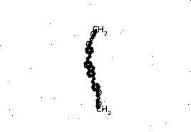 C=COCCCOc1ccc(CCc2ccc3c(c2)Cc2cc(CCc4ccc(OCCCOC=C)cc4)ccc2-3)cc1